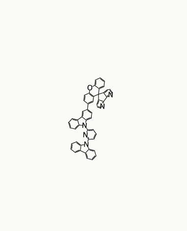 c1cc(-n2c3ccccc3c3ccccc32)nc(-n2c3ccccc3c3cc(-c4ccc5c(c4)C4(c6ccccc6O5)c5cccnc5-c5ncccc54)ccc32)c1